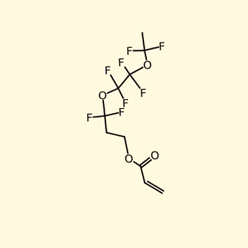 C=CC(=O)OCCC(F)(F)OC(F)(F)C(F)(F)OC(C)(F)F